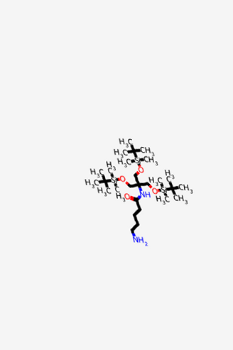 CC(C)(C)[Si](C)(C)OCC(CO[Si](C)(C)C(C)(C)C)(CO[Si](C)(C)C(C)(C)C)NC(=O)CCCCN